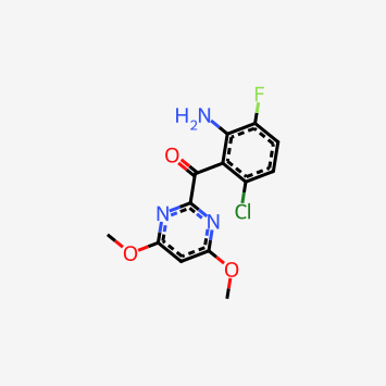 COc1cc(OC)nc(C(=O)c2c(Cl)ccc(F)c2N)n1